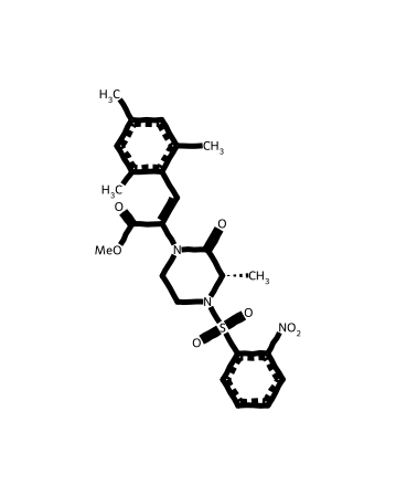 COC(=O)/C(=C\c1c(C)cc(C)cc1C)N1CCN(S(=O)(=O)c2ccccc2[N+](=O)[O-])[C@@H](C)C1=O